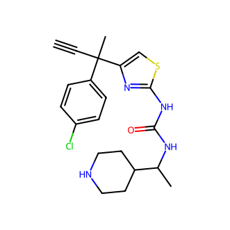 C#CC(C)(c1ccc(Cl)cc1)c1csc(NC(=O)NC(C)C2CCNCC2)n1